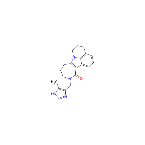 Cc1[nH]cnc1CN1CCCc2c(c3cccc4c3n2CCC4)C1=O